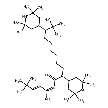 CC(C)(C)/C=N/C(N)=N\C(=N)N(CCCCCCC(C1CC(C)(C)NC(C)(C)C1)C(C)(C)C)C1CC(C)(C)NC(C)(C)C1